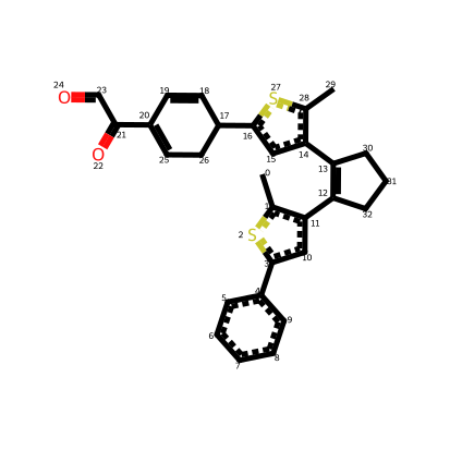 Cc1sc(-c2ccccc2)cc1C1=C(c2cc(C3C=CC(C(=O)C=O)=CC3)sc2C)CCC1